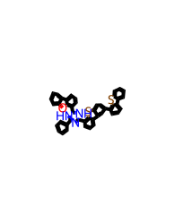 c1ccc(C2=NC(c3cccc4c3sc3ccc(-c5cccc6c5sc5ccccc56)cc34)NC(c3cccc4c3oc3ccccc34)N2)cc1